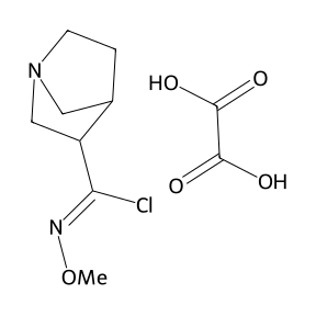 CON=C(Cl)C1CN2CCC1C2.O=C(O)C(=O)O